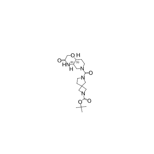 CC(C)(C)OC(=O)N1CC2(CCN(C(=O)N3CC[C@@H]4OCC(=O)N[C@@H]4C3)C2)C1